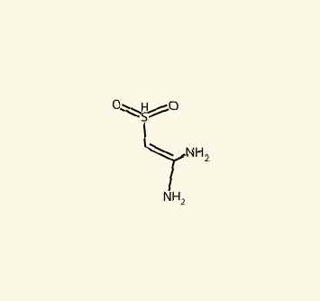 NC(N)=C[SH](=O)=O